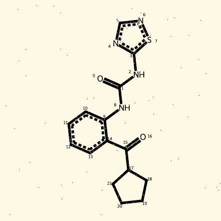 O=C(Nc1ncns1)Nc1ccccc1C(=O)C1CCCC1